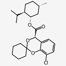 CC(C)[C@H]1CC[C@H](C)C[C@@H]1OC(=O)[C@@H]1OC2(CCCCC2)Oc2c(Cl)cccc21